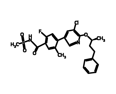 Cc1cc(C(=O)NS(C)(=O)=O)c(F)cc1-c1cnc(O[C@@H](C)CCc2ccccc2)c(Cl)c1